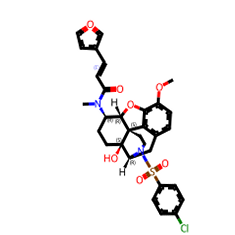 COc1ccc2c3c1O[C@H]1[C@H](N(C)C(=O)/C=C/c4ccoc4)CC[C@@]4(O)[C@@H](C2)N(S(=O)(=O)c2ccc(Cl)cc2)CC[C@]314